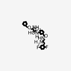 NC(CNC(=O)c1cccc(NC(=O)[C@@H](O)[C@H](N)COCc2ccccc2)c1)Cc1cc(F)ccc1F